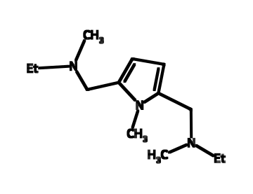 CCN(C)Cc1ccc(CN(C)CC)n1C